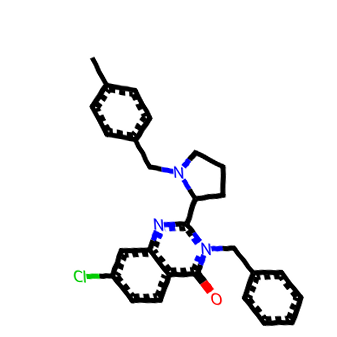 Cc1ccc(CN2CCCC2c2nc3cc(Cl)ccc3c(=O)n2Cc2ccccc2)cc1